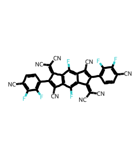 N#CC(C#N)=C1C(c2ccc(C#N)c(F)c2F)=C(C#N)c2c(F)c3c(c(F)c21)C(C#N)=C(c1ccc(C#N)c(F)c1F)C3=C(C#N)C#N